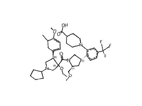 CCO[C@@]1(C(=O)N2C[C@H](c3ccc(C(F)(F)F)cc3N3CCC(C(=O)O)CC3)C[C@H]2COC)CN(C2CCCC2)C[C@H]1C1=CC=C(OC)C(C)C1